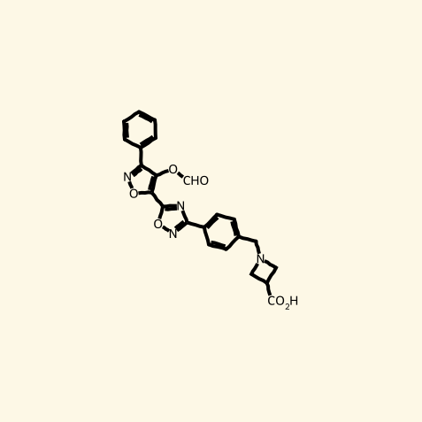 O=COc1c(-c2ccccc2)noc1-c1nc(-c2ccc(CN3CC(C(=O)O)C3)cc2)no1